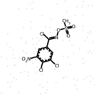 CS(=O)(=O)ON=C(Cl)c1cc(Cl)c(Cl)c([N+](=O)[O-])c1